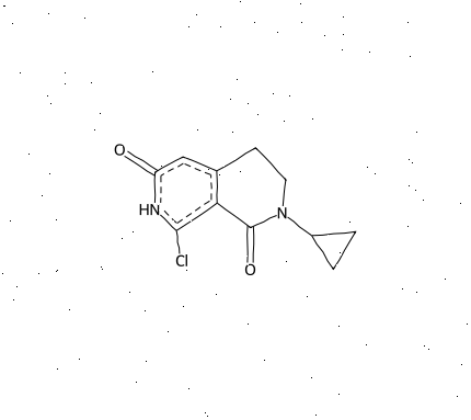 O=C1c2c(cc(=O)[nH]c2Cl)CCN1C1CC1